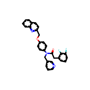 O=C(Cc1cccc(F)c1F)N(Cc1cccnc1)c1ccc(OCc2ccc3ccccc3n2)cc1